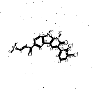 CN(C)C=CC(=O)c1ccc2c(c1)c1cc(-c3cccc(Cl)c3Cl)c(=O)n(C)c1n2C